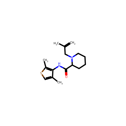 C=C(C)CN1CCCCC1C(=O)Nc1c(C)csc1C